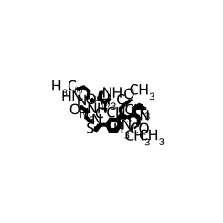 CCn1c(-c2cccnc2[C@H](C)OC)c(CC(C)(C)COC)c2cc(-c3csc(C[C@H](NC(=O)[C@@H]4CNC[C@H]4C(C)C)C(=O)N4CCC[C@@H](C)N4)n3)ccc21